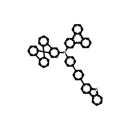 c1ccc2c(c1)-c1ccccc1C21c2ccccc2-c2cc(N(c3ccc(-c4ccc(-c5ccc6c(c5)sc5ccccc56)cc4)cc3)c3ccc4c5ccccc5c5ccccc5c4c3)ccc21